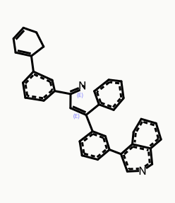 C/N=C(\C=C(/c1ccccc1)c1cccc(-c2cncc3ccccc23)c1)c1cccc(C2=CC=CCC2)c1